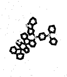 c1ccc(N(c2ccccc2)c2ccc(N(c3ccc4sc5ccccc5c4c3)c3cccc4c3-c3ccccc3C43c4ccccc4C(c4ccccc4)(c4ccccc4)c4ccccc43)cc2)cc1